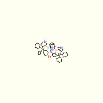 c1ccc2c(c1)-c1ccccc1[Si]21c2ccnc3c2B2c4c1ccc1c4[N+]4(c5c(ccc6c5B5c7c(ccnc7-c7ccc[n+]4c75)[Si]64c5ccccc5-c5ccccc54)O1)[n+]1cccc-3c12